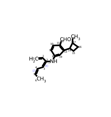 C=C/C(=C\C=C/C)Nc1ccc(C=O)c(C2CCC2C)c1